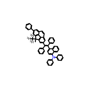 [2H]C([2H])([2H])C1(C)c2cc(/C(=C(\c3ccccc3)c3ccc(N(c4ccccc4)c4ccccc4)c4ccccc34)c3ccccc3)cc3ccc4cc(-c5ccccc5)cc1c4c23